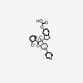 C[N+](C(=O)c1ccccc1Cl)(C1CCN(c2ccncc2)CC1)[C@@H]1CCc2ccc(OC(=O)O)cc21